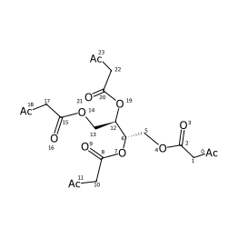 CC(=O)CC(=O)OC[C@H](OC(=O)CC(C)=O)[C@@H](COC(=O)CC(C)=O)OC(=O)CC(C)=O